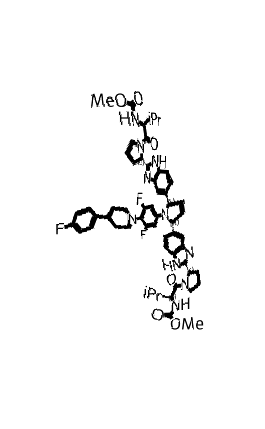 COC(=O)NC(C(=O)N1CCC[C@H]1c1nc2cc([C@H]3CC[C@H](c4ccc5[nH]c([C@@H]6CCCN6C(=O)[C@@H](NC(=O)OC)C(C)C)nc5c4)N3c3cc(F)c(N4CCC(c5ccc(F)cc5)CC4)c(F)c3)ccc2[nH]1)C(C)C